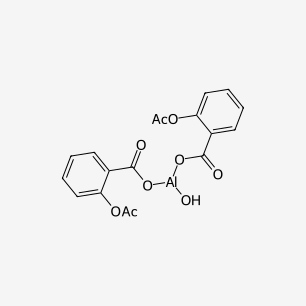 CC(=O)Oc1ccccc1C(=O)[O][Al]([OH])[O]C(=O)c1ccccc1OC(C)=O